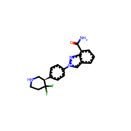 NC(=O)c1cccc2cn(-c3ccc([C@@H]4CNCCC4(F)F)cc3)nc12